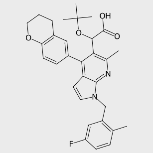 Cc1ccc(F)cc1Cn1ccc2c(-c3ccc4c(c3)CCCO4)c(C(OC(C)(C)C)C(=O)O)c(C)nc21